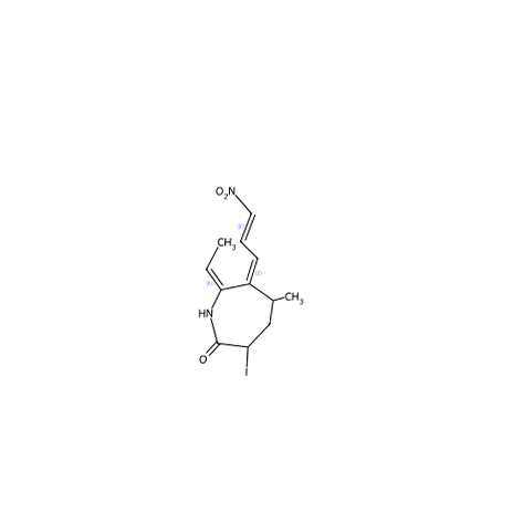 C/C=C1/NC(=O)C(I)CC(C)/C1=C/C=C/[N+](=O)[O-]